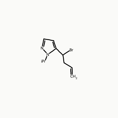 C=CCC(Br)c1ccnn1C(C)C